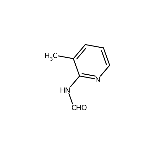 Cc1cccnc1NC=O